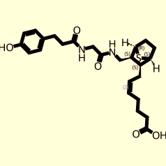 O=C(O)CCC/C=C\C[C@H]1[C@@H](CNC(=O)CNC(=O)CCc2ccc(O)cc2)[C@H]2CC[C@@H]1S2